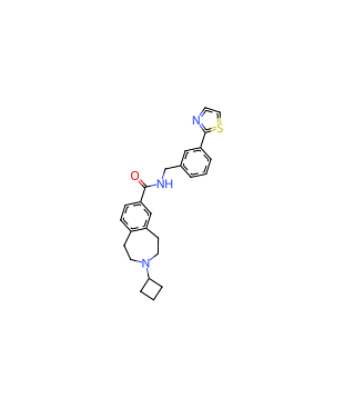 O=C(NCc1cccc(-c2nccs2)c1)c1ccc2c(c1)CCN(C1CCC1)CC2